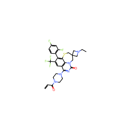 C=CC(=O)N1CCN(c2nc(=O)n3c4c(c(-c5ccc(F)cc5F)c(C(F)(F)F)cc24)SCC2(CN(CC)C2)C3)CC1